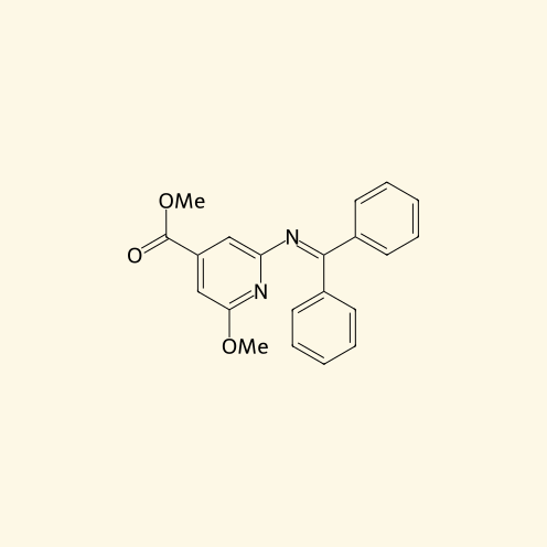 COC(=O)c1cc(N=C(c2ccccc2)c2ccccc2)nc(OC)c1